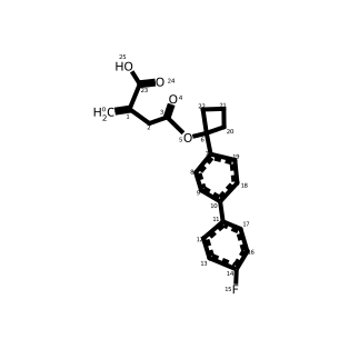 C=C(CC(=O)OC1(c2ccc(-c3ccc(F)cc3)cc2)CCC1)C(=O)O